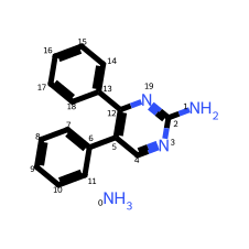 N.Nc1ncc(-c2ccccc2)c(-c2ccccc2)n1